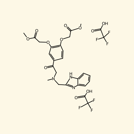 COC(=O)COc1ccc(C(=O)CN(C)Cc2nc3ccccc3[nH]2)cc1OCC(=O)OC.O=C(O)C(F)(F)F.O=C(O)C(F)(F)F